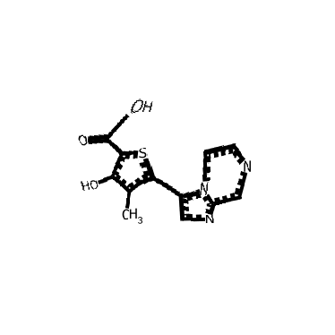 Cc1c(-c2cnc3cnccn23)sc(C(=O)O)c1O